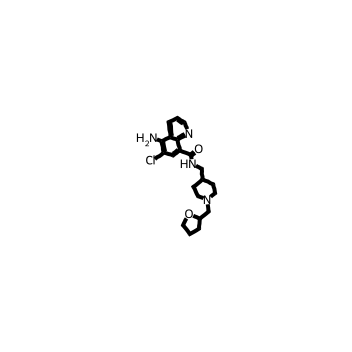 Nc1c(Cl)cc(C(=O)NCC2CCN(CC3CCCO3)CC2)c2ncccc12